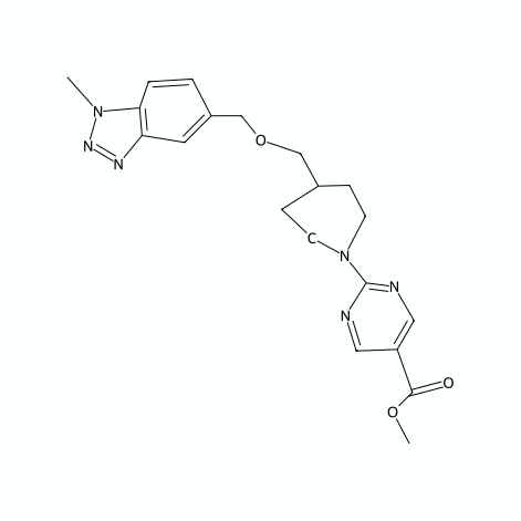 COC(=O)c1cnc(N2CCC(COCc3ccc4c(c3)nnn4C)CC2)nc1